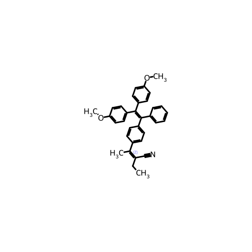 CC/C(C#N)=C(\C)c1ccc(C(=C(c2ccc(OC)cc2)c2ccc(OC)cc2)c2ccccc2)cc1